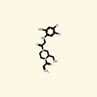 C=CC(=O)N1CCN(C(=O)CNc2cc(Cl)c(Cl)cc2O)CC1CO